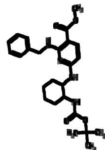 COC(=O)c1ccc(NC2CCCCC2NC(=O)OC(C)(C)C)nc1NCc1ccccc1